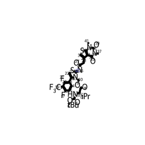 CC(C)[C@H](NC(=O)OC(C)(C)C)C(=O)OCn1c(-c2ccc(F)c(C(F)(F)F)c2F)cs/c1=N\C(=O)Cc1csc2c1c(=O)n(C)c(=O)n2C